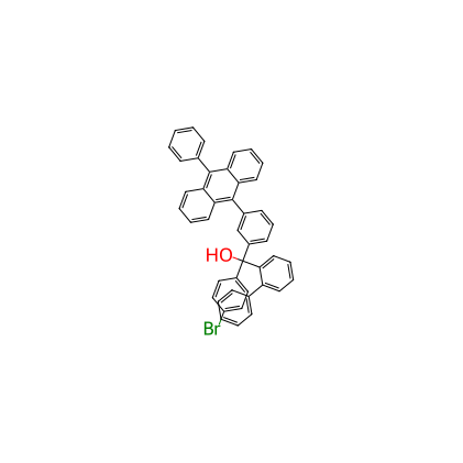 OC(c1ccc(Br)cc1)(c1cccc(-c2c3ccccc3c(-c3ccccc3)c3ccccc23)c1)c1ccccc1-c1ccccc1